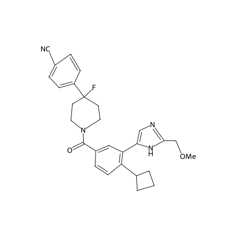 COCc1ncc(-c2cc(C(=O)N3CCC(F)(c4ccc(C#N)cc4)CC3)ccc2C2CCC2)[nH]1